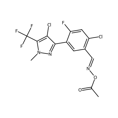 CC(=O)ON=Cc1cc(-c2nn(C)c(C(F)(F)F)c2Cl)c(F)cc1Cl